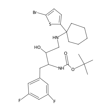 CC(C)(C)OC(=O)NC(Cc1cc(F)cc(F)c1)C(O)CNC1(c2ccc(Br)s2)CCCCC1